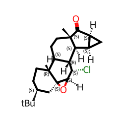 CC(C)(C)[C@H]1CC[C@]2(C)[C@H]3CC[C@]4(C)C(=O)[C@H]5C[C@H]5[C@H]4[C@@H]3[C@H](Cl)[C@H]3O[C@]32C1